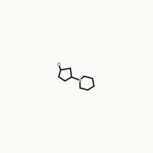 ClC1CCC(N2CC[CH]CC2)C1